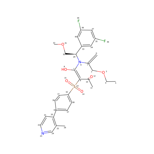 C=C(COCC)N(/C(O)=C(\C(C)=O)S(=O)(=O)c1ccc(-c2ccncc2C)cc1)[C@@H](COC)c1cc(F)cc(F)c1